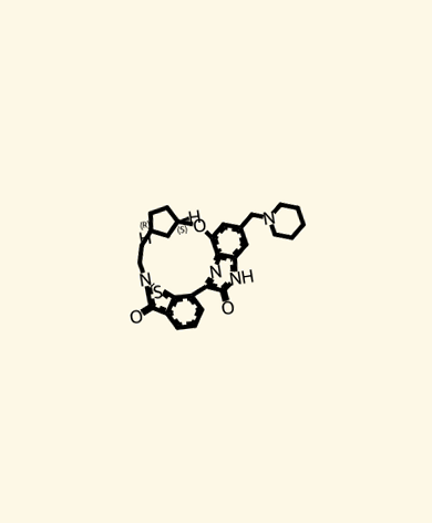 O=c1[nH]c2cc(CN3CCCCC3)cc3c2nc1-c1cccc2c(=O)n(sc12)CC[C@H]1CC[C@@H](C1)O3